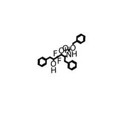 O=C(NC(Cc1ccccc1)C(O)C(F)(F)C(O)Cc1ccccc1)OCc1ccccc1